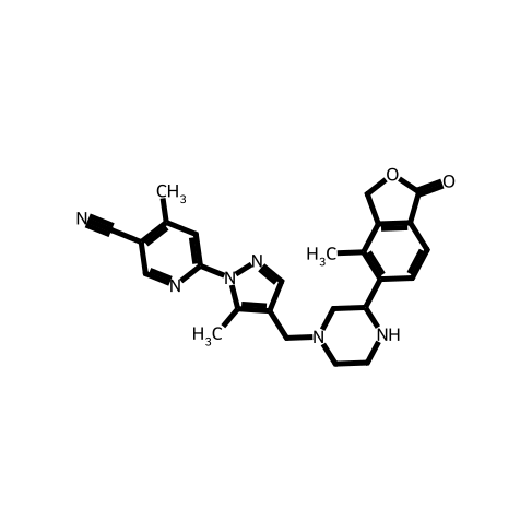 Cc1cc(-n2ncc(CN3CCNC(c4ccc5c(c4C)COC5=O)C3)c2C)ncc1C#N